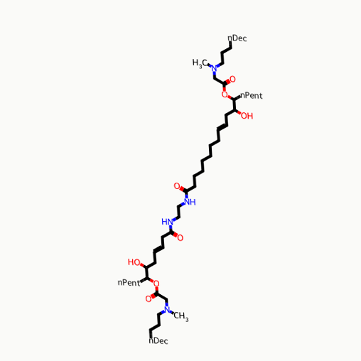 CCCCCCCCCCCCCN(C)CC(=O)OC(CCCCC)C(O)C/C=C/CCCCCCCC(=O)NCCNC(=O)C/C=C/CC(O)C(CCCCC)OC(=O)CN(C)CCCCCCCCCCCCC